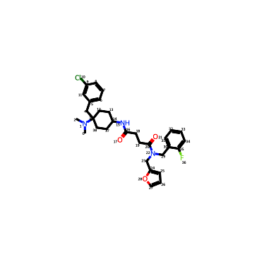 CN(C)C1(Cc2cccc(Cl)c2)CCC(NC(=O)CCC(=O)N(Cc2ccco2)Cc2ccccc2F)CC1